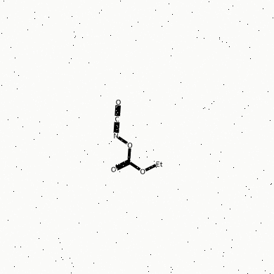 CCOC(=O)ON=C=O